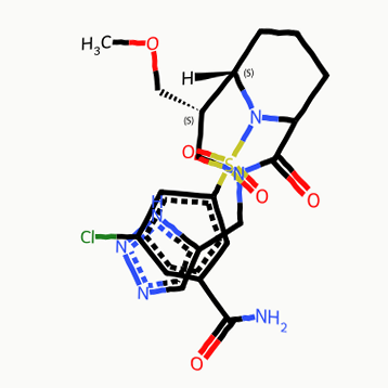 COC[C@H]1CN(Cc2cnn[nH]2)C(=O)C2CCC[C@@H]1N2S(=O)(=O)c1cc(Cl)cc(C(N)=O)c1